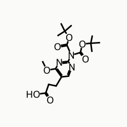 COc1nc(N(C(=O)OC(C)(C)C)C(=O)OC(C)(C)C)ncc1CCC(=O)O